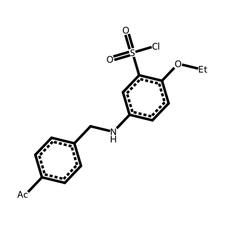 CCOc1ccc(NCc2ccc(C(C)=O)cc2)cc1S(=O)(=O)Cl